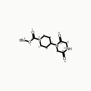 CC(C)(C)OC(=O)N1CCC(N2CC(=O)NCC2=O)CC1